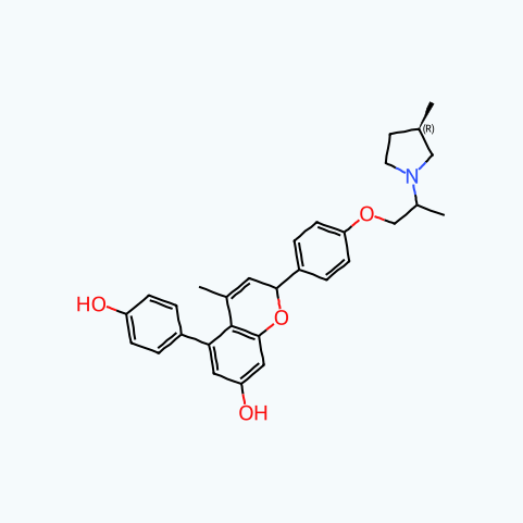 CC1=CC(c2ccc(OCC(C)N3CC[C@@H](C)C3)cc2)Oc2cc(O)cc(-c3ccc(O)cc3)c21